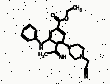 CCOC(=O)c1cc(N2CCN(CC#N)CC2)c(C(C)=N)c(Nc2ccccc2)n1